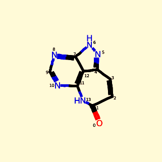 O=C1C=Cc2n[nH]c3ncnc(c23)N1